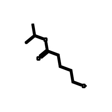 CC(C)OC(=O)CCCC[O]